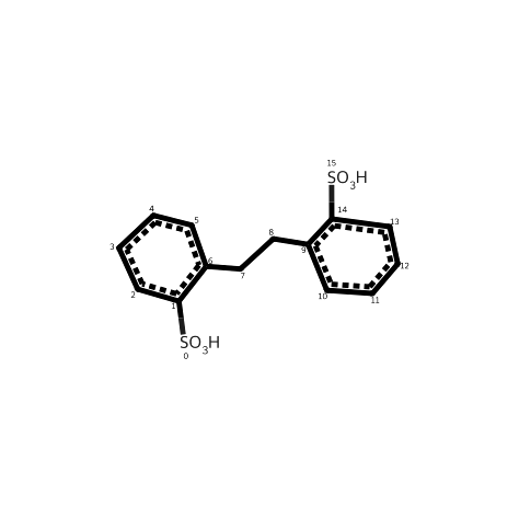 O=S(=O)(O)c1ccccc1CCc1ccccc1S(=O)(=O)O